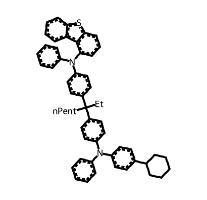 CCCCCC(CC)(c1ccc(N(c2ccccc2)c2ccc(C3CCCCC3)cc2)cc1)c1ccc(N(c2ccccc2)c2cccc3sc4ccccc4c23)cc1